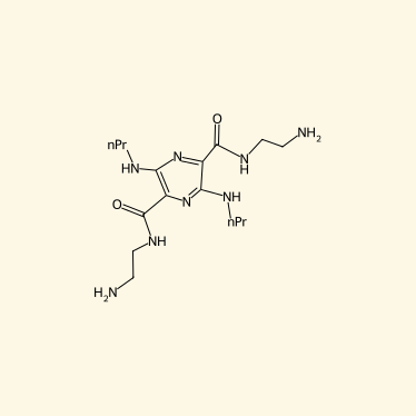 CCCNc1nc(C(=O)NCCN)c(NCCC)nc1C(=O)NCCN